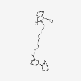 O=C1c2ccccc2C(=O)N1CCCCCCCCCOc1cccc(-c2ccccc2)c1